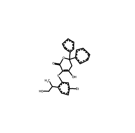 CCc1ccc(C(C)CO)c(SC2=C(O)CC(c3ccccc3)(c3ccccc3)OC2=O)c1